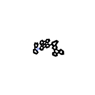 c1ccc2c(c1)-c1ccccc1C21c2cc(-c3cccc4cc5c6ccccc6c6ccccc6c5cc34)ccc2-c2ccc(-n3c4ccccc4c4ccccc43)cc21